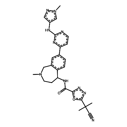 CN1CCC(NC(=O)c2nnc(C(C)(C)C#N)o2)c2ccc(-c3ccnc(Nc4cnn(C)c4)n3)cc2C1